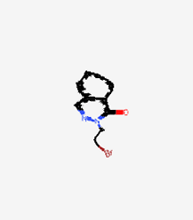 O=c1c2ccccc2cnn1CCBr